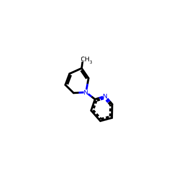 CC1=CN(c2ccccn2)CC=C1